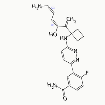 C=C(/C(O)=C\C=C/N)C1(Nc2ccc(-c3cc(C(N)=O)ccc3F)nn2)CCC1